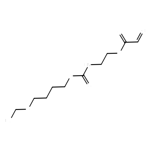 C=CC(=O)OCCNC(=O)OCCCCOCC